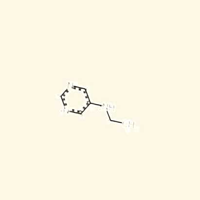 CCNc1cncnc1